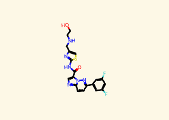 O=C(Nc1nc(CNCCO)cs1)c1cnc2ccc(-c3cc(F)cc(F)c3)nn12